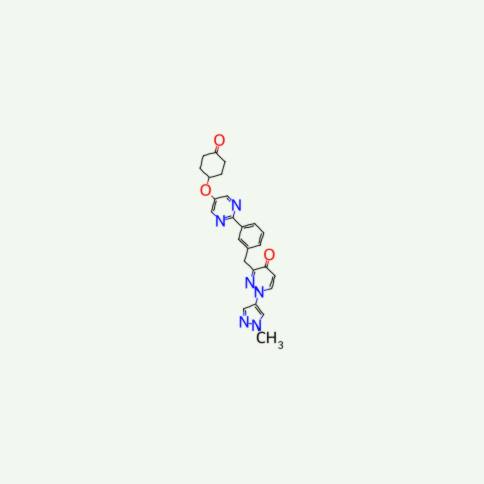 Cn1cc(-n2ccc(=O)c(Cc3cccc(-c4ncc(OC5CCC(=O)CC5)cn4)c3)n2)cn1